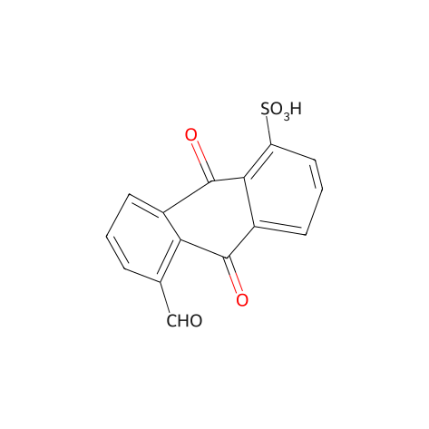 O=Cc1cccc2c1C(=O)c1cccc(S(=O)(=O)O)c1C2=O